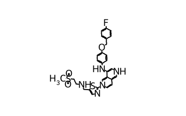 CS(=O)(=O)CCNCc1cnc(N2C=CC3=CNC=C(Nc4ccc(OCc5ccc(F)cc5)cc4)C3=C2)s1